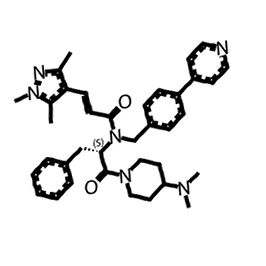 Cc1nn(C)c(C)c1C=CC(=O)N(Cc1ccc(-c2ccncc2)cc1)[C@@H](Cc1ccccc1)C(=O)N1CCC(N(C)C)CC1